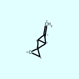 C=C1C2C1C21CO1